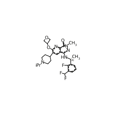 CC(C)N1CCC(c2cc3c(N[C@H](C)c4cccc(C(F)F)c4F)nn(C)c(=O)c3nc2OC2COC2)CC1